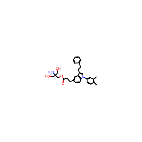 Cc1ccc(-n2cc(CCc3ccccc3)c3cc(CCC(=O)OCC(N)(CO)CO)ccc32)cc1C